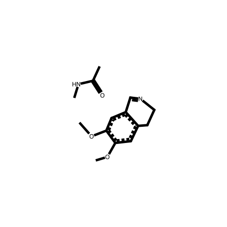 CNC(C)=O.COc1cc2c(cc1OC)CCN=C2